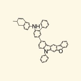 CC1C=Cc2cc(Nc3ccc(-c4ccc5c(c4)c4cc6c(cc4n5-c4ccccc4)oc4ccccc46)cc3-c3ccccc3)ccc2C1